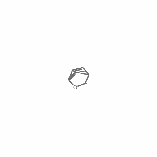 [CH]1Oc2ccc1cc2